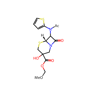 COCOC(=O)C1(O)CS[C@@H]2C(N(C(C)=O)c3cccs3)C(=O)N2C1